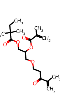 C=C(C)C(=O)CCOCC(COC(=O)C(C)(C)CC)OC(=O)C(=C)C